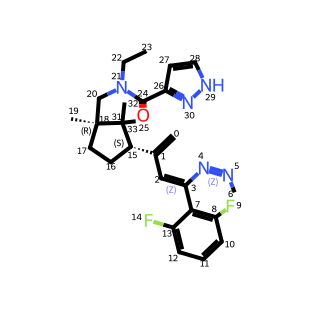 C=C(/C=C(\N=N/C)c1c(F)cccc1F)[C@@H]1CC[C@@](C)(CN(CC)C(=O)c2cc[nH]n2)C1(C)C